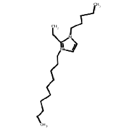 CCCCCCCCCC[n+]1ccn(CCCCC)c1CC